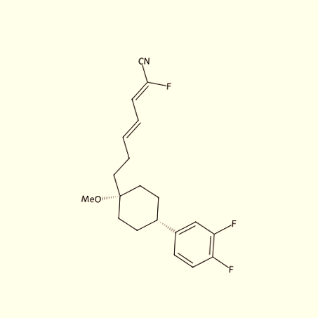 CO[C@]1(CCC=CC=C(F)C#N)CC[C@H](c2ccc(F)c(F)c2)CC1